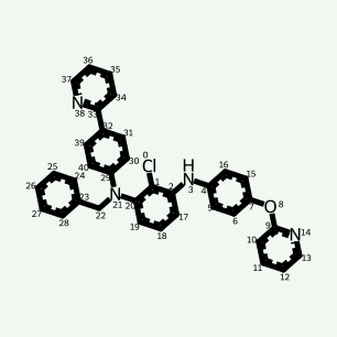 Clc1c(Nc2ccc(Oc3ccccn3)cc2)cccc1N(Cc1ccccc1)c1ccc(-c2ccccn2)cc1